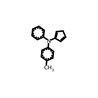 Cc1ccc(N(C2=CCC=C2)c2ccccc2)cc1